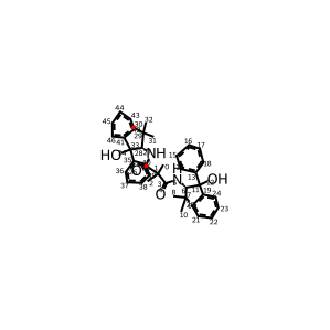 CC(C)(C(=O)N[C@H](C(C)(C)C)C(O)(c1ccccc1)c1ccccc1)C(=O)N[C@H](C(C)(C)C)C(O)(c1ccccc1)c1ccccc1